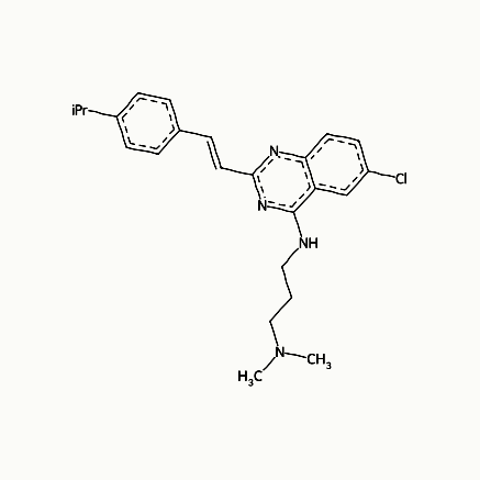 CC(C)c1ccc(C=Cc2nc(NCCCN(C)C)c3cc(Cl)ccc3n2)cc1